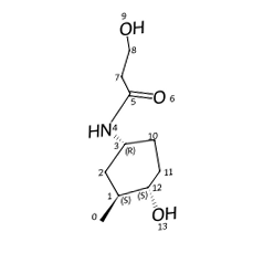 C[C@H]1C[C@H](NC(=O)CCO)CC[C@@H]1O